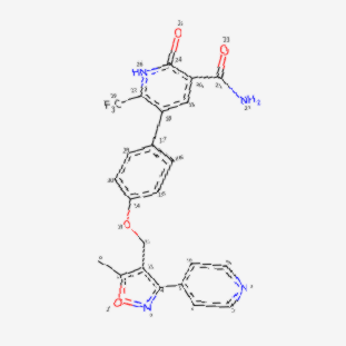 Cc1onc(-c2ccncc2)c1COc1ccc(-c2cc(C(N)=O)c(=O)[nH]c2C(F)(F)F)cc1